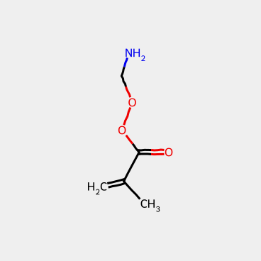 C=C(C)C(=O)OOCN